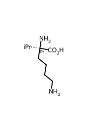 CC(C)[C@@](N)(CCCCN)C(=O)O